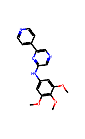 COc1cc(Nc2cncc(-c3ccncc3)n2)cc(OC)c1OC